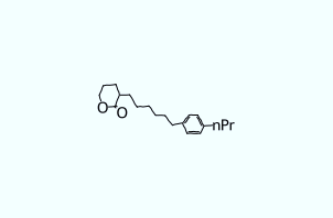 CCCc1ccc(CCCCCCC2CCCOC2=O)cc1